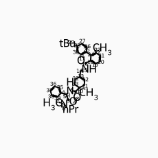 CCCN(C)C(=O)[C@@H](NC(=O)C1(C)CC=C(CNC(=O)c2cccc(C)c2-c2ccc(C(C)(C)C)cc2)CC1)c1ccccc1